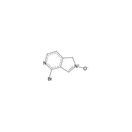 [O-][N+]1=Cc2c(ccnc2Br)C1